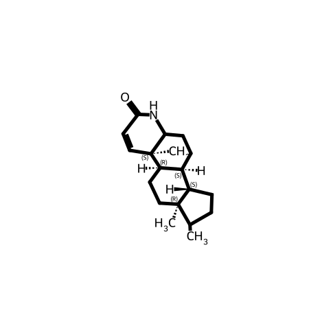 CC1CC[C@H]2[C@@H]3CCC4NC(=O)C=C[C@]4(C)[C@@H]3CC[C@]12C